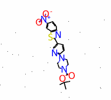 CC(C)(C)OC(=O)N1CCN(c2ccc(-c3nc4ccc([N+](=O)[O-])cc4s3)cn2)CC1